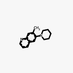 Cc1cc2ncccc2cc1N1CCCCC1